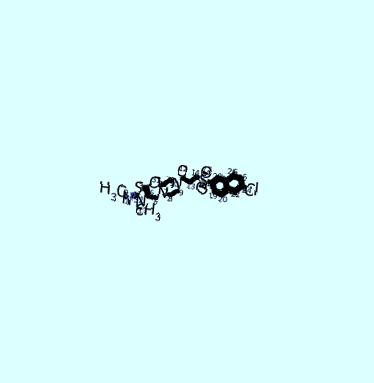 C/N=c1\scc(CN2CCN(C(=O)CCS(=O)(=O)c3ccc4cc(Cl)ccc4c3)CC2=O)n1C